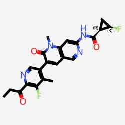 CCC(=O)c1ncc(-c2cc3cnc(NC(=O)[C@H]4C[C@H]4F)cc3n(C)c2=O)c(C)c1F